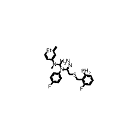 C=C/C=C(\C=C/CC)N(C)C(C)N(/C(CSCc1c(F)cccc1P)=N\N)c1ccc(F)cc1